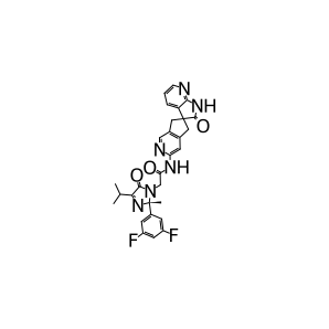 CC(C)C1=N[C@@](C)(c2cc(F)cc(F)c2)N(CC(=O)Nc2cc3c(cn2)CC2(C3)C(=O)Nc3ncccc32)C1=O